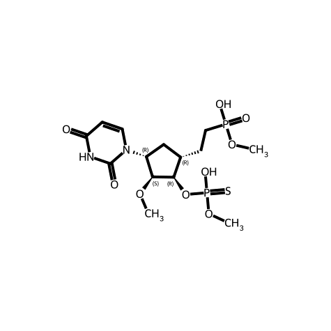 CO[C@@H]1[C@H](OP(O)(=S)OC)[C@@H](CCP(=O)(O)OC)C[C@H]1n1ccc(=O)[nH]c1=O